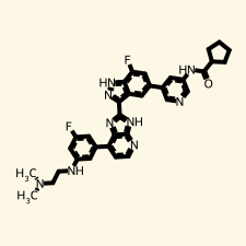 CN(C)CCNc1cc(F)cc(-c2ccnc3[nH]c(-c4n[nH]c5c(F)cc(-c6cncc(NC(=O)C7CCCC7)c6)cc45)nc23)c1